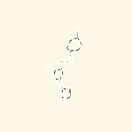 Cc1sc(-c2ccno2)cc1NCc1ccc(F)cc1